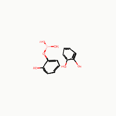 OB(O)Oc1ccccc1O.Oc1ccccc1O